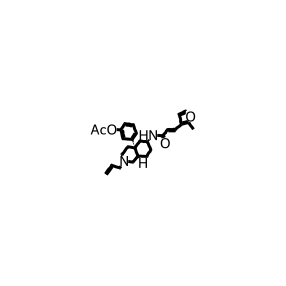 C=CCN1CC[C@@]2(c3cccc(OC(C)=O)c3)C[C@@H](NC(=O)C=Cc3ccoc3C)CC[C@@H]2C1